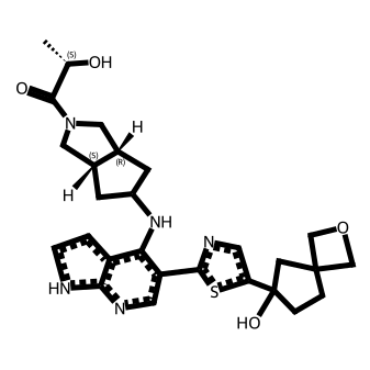 C[C@H](O)C(=O)N1C[C@H]2CC(Nc3c(-c4ncc(C5(O)CCC6(COC6)C5)s4)cnc4[nH]ccc34)C[C@H]2C1